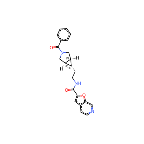 O=C(NCC[C@@H]1[C@H]2CN(C(=O)c3ccccc3)C[C@@H]12)c1cc2ccncc2o1